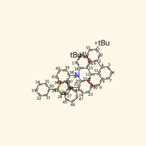 CC(C)(C)c1cc(-c2cccc3cccc(-c4ccccc4N(c4ccccc4-c4ccc(-c5ccccc5)cc4)c4cccc5sc6ccccc6c45)c23)cc(C(C)(C)C)c1